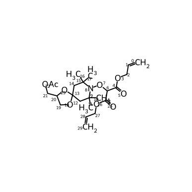 C=CCOC(=O)C(ON1C(C)(C)CC2(CC1(C)C)OCC(COC(C)=O)O2)C(=O)OCC=C